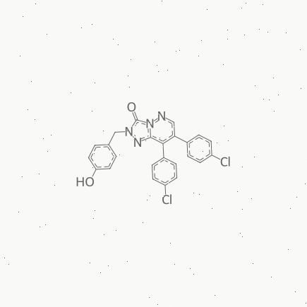 O=c1n(Cc2ccc(O)cc2)nc2c(-c3ccc(Cl)cc3)c(-c3ccc(Cl)cc3)cnn12